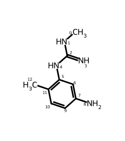 CNC(=N)Nc1cc(N)ccc1C